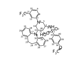 O=S(=O)(NC1CN(c2cccc(C(F)(F)F)c2)CC(N2c3ccccc3CCc3ccccc32)[C@H]1O)c1ccc(OC(F)(F)F)cc1